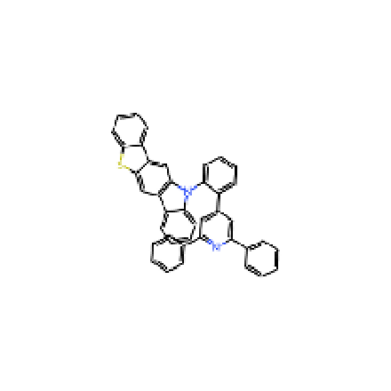 c1ccc(-c2cc(-c3ccccc3-n3c4ccccc4c4cc5sc6ccccc6c5cc43)cc(-c3ccccc3)n2)cc1